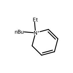 CCCC[N+]1(CC)C=CC=CC1